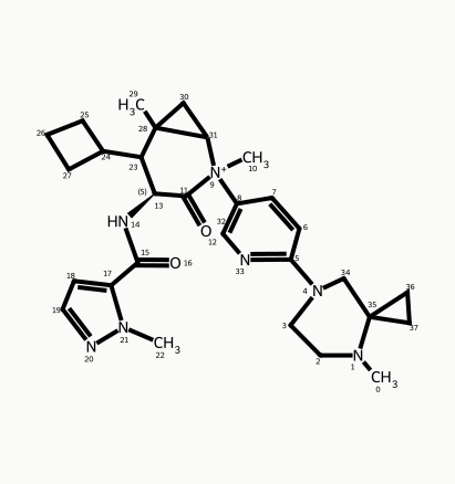 CN1CCN(c2ccc([N+]3(C)C(=O)[C@@H](NC(=O)c4ccnn4C)C(C4CCC4)C4(C)CC43)cn2)CC12CC2